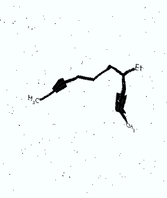 CC#CCCCC(C#CC)[CH]C